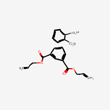 C=CCOC(=O)c1cccc(C(=O)OCC=C)c1.O=C(O)c1ccccc1C(=O)O